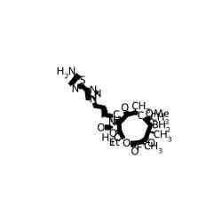 B[C@@H]1[C@@H](C)C(=O)[C@](C)(F)C(=O)O[C@H](CC)[C@@]2(C)OC(=O)N(C/C=C/Cn3cc(-c4ncc(N)s4)nn3)[C@@H]2[C@@H](C)C(=O)[C@H](C)C[C@@]1(C)OC